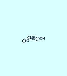 OC1CCC(NNc2cccc(Oc3ccccc3)c2)CC1